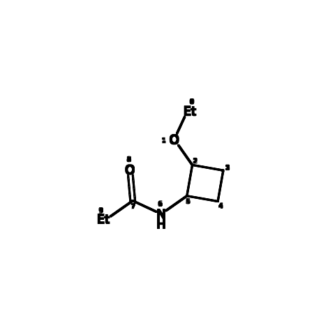 CCOC1CCC1NC(=O)CC